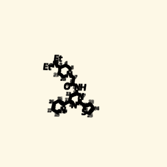 CCN(CC)C1CCN(CC(=O)Nc2cc(-c3ccccn3)nc(-c3cccs3)n2)CC1